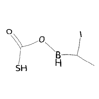 CC(I)BOC(=O)S